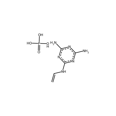 C=CNc1nc(N)nc(N)n1.O=P(O)(O)O